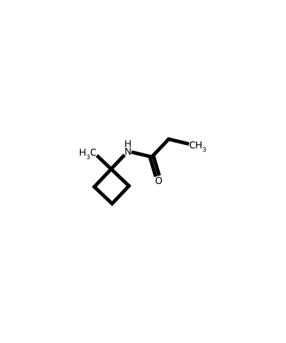 CCC(=O)NC1(C)CCC1